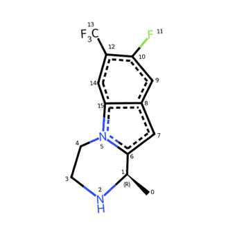 C[C@H]1NCCn2c1cc1cc(F)c(C(F)(F)F)cc12